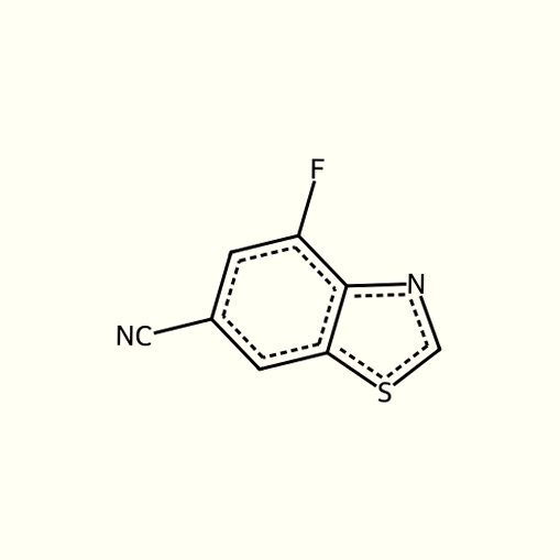 N#Cc1cc(F)c2ncsc2c1